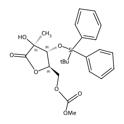 COC(=O)OC[C@H]1OC(=O)[C@@](C)(O)[C@@H]1O[Si](c1ccccc1)(c1ccccc1)C(C)(C)C